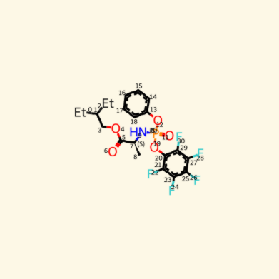 CCC(CC)COC(=O)[C@H](C)N[P@](=O)(Oc1ccccc1)Oc1c(F)c(F)c(F)c(F)c1F